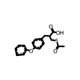 CC(=O)SCC(Cc1ccc(Oc2ccccc2)cc1)C(=O)O